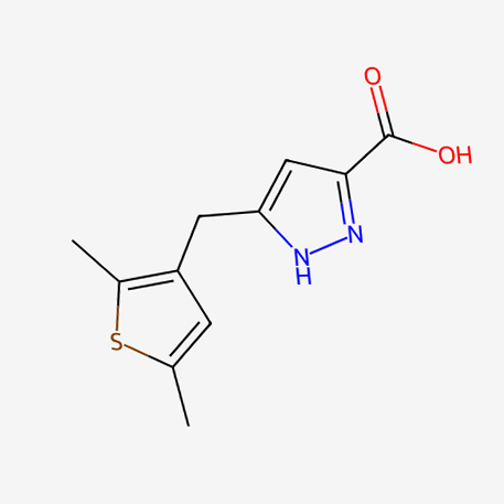 Cc1cc(Cc2cc(C(=O)O)n[nH]2)c(C)s1